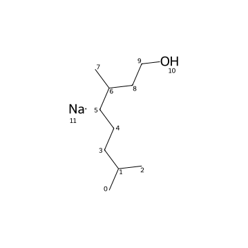 CC(C)CCCC(C)CCO.[Na]